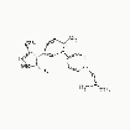 Cc1n[nH]c(C)c1C1=CN(c2ccc(OC(C)C)cc2)C(O)C=C1